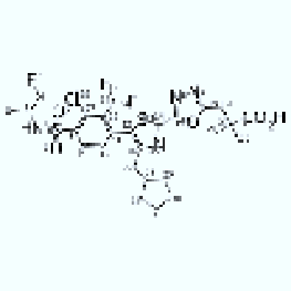 C[C@@H](CF)NS(=O)(=O)c1ccc(-c2sc(-c3nnc(CC(C)(C)C(=O)O)o3)nc2CC2CCCC2)c(C(F)F)c1Cl